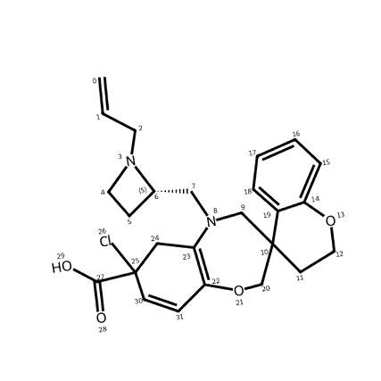 C=CCN1CC[C@H]1CN1CC2(CCOc3ccccc32)COC2=C1CC(Cl)(C(=O)O)C=C2